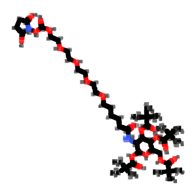 CC(C)(C)C(=O)OCC1OC(OC(=O)C(C)(C)C)C(NC(=O)CCCCCOCCOCCOCCOCCOC(=O)ON2C(=O)CCC2=O)C(OC(=O)C(C)(C)C)C1OC(=O)C(C)(C)C